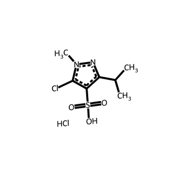 CC(C)c1nn(C)c(Cl)c1S(=O)(=O)O.Cl